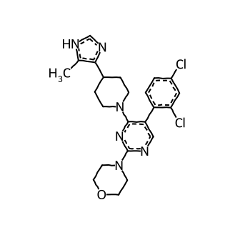 Cc1[nH]cnc1C1CCN(c2nc(N3CCOCC3)ncc2-c2ccc(Cl)cc2Cl)CC1